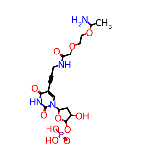 CC(N)OCCOCC(=O)NCC#Cc1cn(C2CC(O)C(OP(=O)(O)O)O2)c(=O)[nH]c1=O